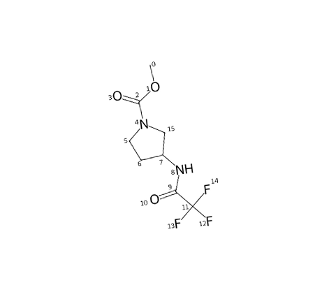 COC(=O)N1CCC(NC(=O)C(F)(F)F)C1